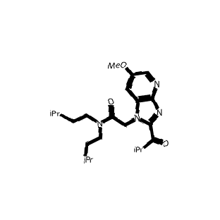 COc1cnc2nc(C(=O)C(C)C)n(CC(=O)N(CCC(C)C)CCC(C)C)c2c1